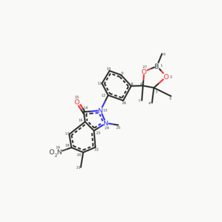 CB1OC(C)(C)C(C)(c2cccc(-n3c(=O)c4cc([N+](=O)[O-])c(C)cc4n3C)c2)O1